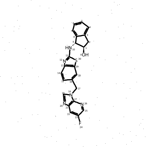 O[C@@H]1Cc2ccccc2[C@H]1Nc1nc2ccc(Cn3cnc4cc(F)cnc43)cc2s1